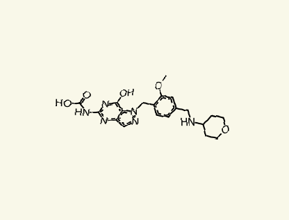 COc1cc(CNC2CCOCC2)ccc1Cn1ncc2nc(NC(=O)O)nc(O)c21